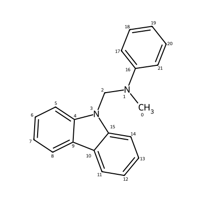 CN(Cn1c2ccccc2c2ccccc21)c1ccccc1